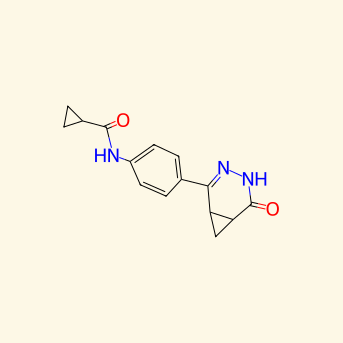 O=C(Nc1ccc(C2=NNC(=O)C3CC23)cc1)C1CC1